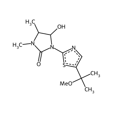 COC(C)(C)c1cnc(N2C(=O)N(C)C(C)C2O)s1